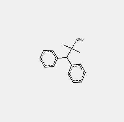 CC(C)([SiH2])C(c1ccccc1)c1ccccc1